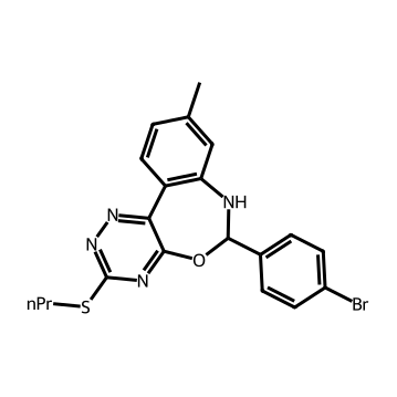 CCCSc1nnc2c(n1)OC(c1ccc(Br)cc1)Nc1cc(C)ccc1-2